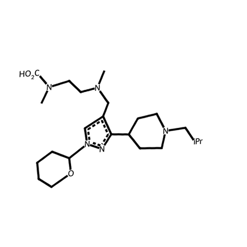 CC(C)CN1CCC(c2nn(C3CCCCO3)cc2CN(C)CCN(C)C(=O)O)CC1